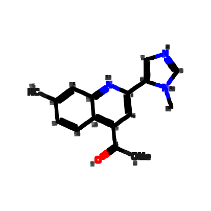 COC(=O)c1cc(-c2cncn2C)nc2cc(C#N)ccc12